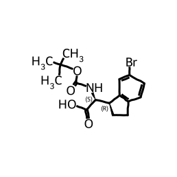 CC(C)(C)OC(=O)N[C@H](C(=O)O)[C@@H]1CCc2ccc(Br)cc21